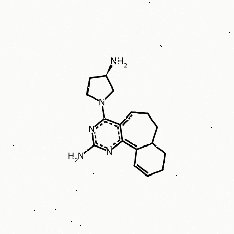 Nc1nc(N2CC[C@@H](N)C2)c2c(n1)=C1C=CCCC1CCC=2